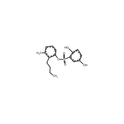 CCCCc1c(C)cccc1OS(=O)(=O)c1cc(O)ccc1O